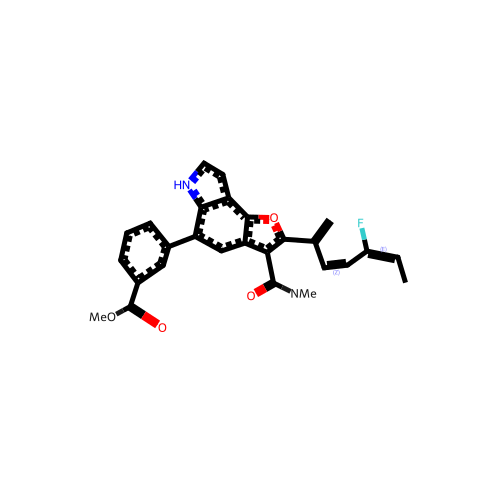 C=C(/C=C\C(F)=C/C)c1oc2c(cc(-c3cccc(C(=O)OC)c3)c3[nH]ccc32)c1C(=O)NC